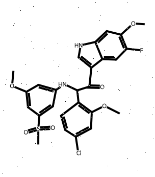 COc1cc(NC(C(=O)c2c[nH]c3cc(OC)c(F)cc23)c2ccc(Cl)cc2OC)cc(S(C)(=O)=O)c1